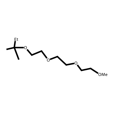 CCC(C)(C)OCCOCCOCCOC